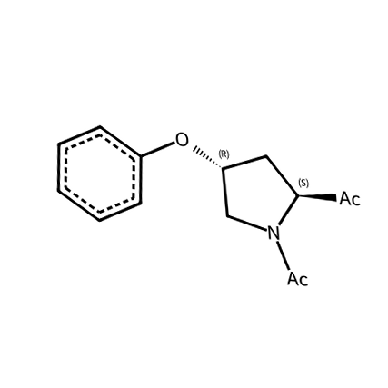 CC(=O)[C@@H]1C[C@@H](Oc2ccccc2)CN1C(C)=O